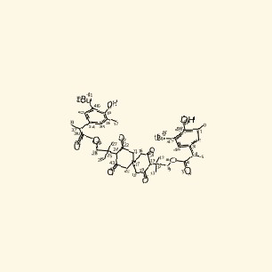 Cc1cc(C(C)C(=O)OCC(C)(C)C2C(=O)CC3(CC2=O)CC(=O)C(C(C)(C)COC(=O)C(C)c2cc(C)c(O)c(C(C)(C)C)c2)C(=O)C3)cc(C(C)(C)C)c1O